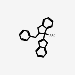 CC(=O)OC1(C2=Cc3ccccc3C2)c2ccccc2CC1Cc1ccccc1